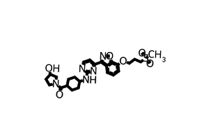 CS(=O)(=O)CCCOc1cccc2c(-c3ccnc(NC4CCC(C(=O)N5CCC(O)C5)CC4)n3)noc12